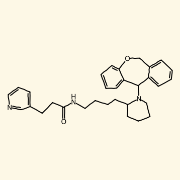 O=C(CCc1cccnc1)NCCCCC1CCCCN1C1c2ccccc2COc2ccccc21